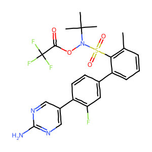 Cc1cccc(-c2ccc(-c3cnc(N)nc3)c(F)c2)c1S(=O)(=O)N(OC(=O)C(F)(F)F)C(C)(C)C